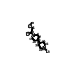 COCC(=O)N1CCC(C2CCN(I)CC2)CC1